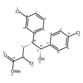 CCC(C[C@H](c1cccc(Cl)c1)[C@@H](O)c1ccc(Cl)cc1)C(=O)OC